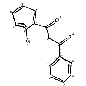 O=C(CC(=O)c1ccccc1O)c1ccccc1